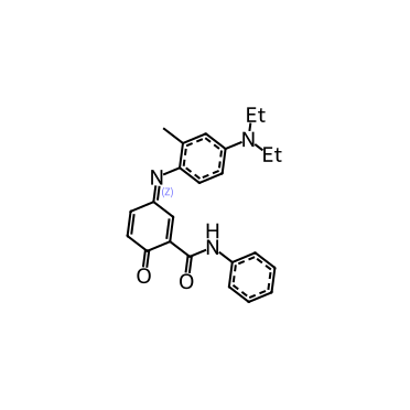 CCN(CC)c1ccc(/N=C2/C=CC(=O)C(C(=O)Nc3ccccc3)=C2)c(C)c1